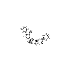 CC(=O)c1cc(S(=O)(=O)Nc2nc(CC(=O)N3CCOCC3)cs2)ccc1-c1ccccc1